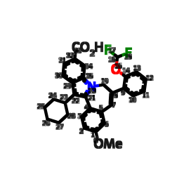 COc1ccc2c(c1)C=C(c1ccccc1OC(F)F)Cn1c-2c(C2CCCCC2)c2ccc(C(=O)O)cc21